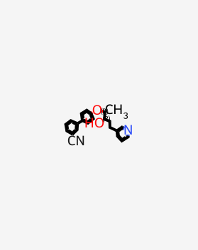 C[C@@H](Oc1ccc(-c2cccc(C#N)c2)cc1)[C@H](O)CCc1cccnc1